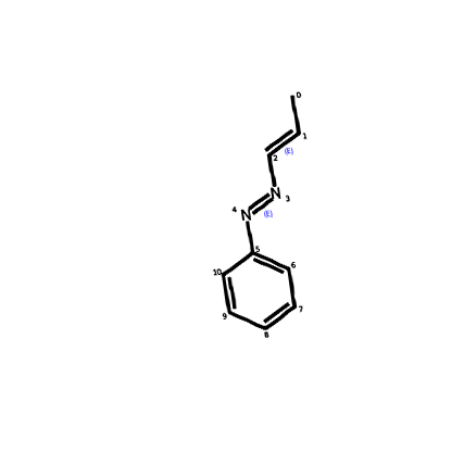 C/C=C/N=N/c1ccccc1